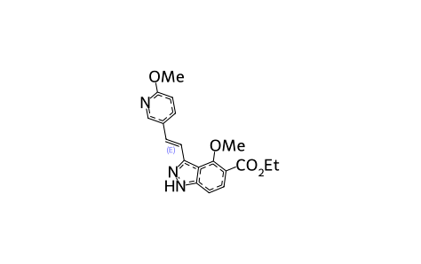 CCOC(=O)c1ccc2[nH]nc(/C=C/c3ccc(OC)nc3)c2c1OC